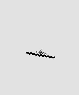 CCCCCCCCCC(CCCCCCCC)P(=O)(O)O